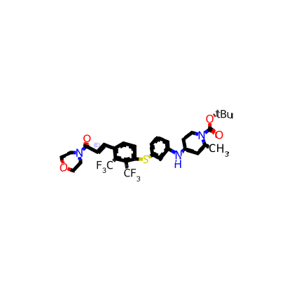 CC1CC(Nc2cccc(Sc3ccc(/C=C/C(=O)N4CCOCC4)c(C(F)(F)F)c3C(F)(F)F)c2)CCN1C(=O)OC(C)(C)C